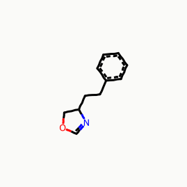 C1=NC(CCc2ccccc2)CO1